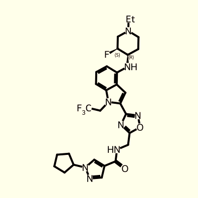 CCN1CC[C@@H](Nc2cccc3c2cc(-c2noc(CNC(=O)c4cnn(C5CCCC5)c4)n2)n3CC(F)(F)F)[C@@H](F)C1